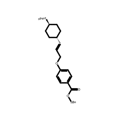 CCCCC[C@H]1CC[C@H](C=CCOc2ccc(C(=O)OCCCC)cc2)CC1